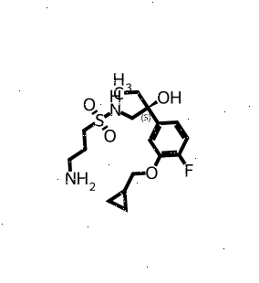 CC[C@@](O)(CNS(=O)(=O)CCCN)c1ccc(F)c(OCC2CC2)c1